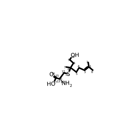 CC(C)=CCCC(C)(CCO)SC[C@H](N)C(=O)O